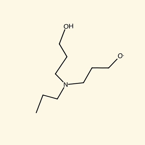 CCCN(CCC[O])CCCO